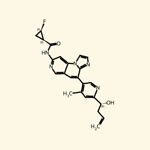 C=CC[C@@H](O)c1cc(C)c(-c2cc3cnc(NC(=O)[C@H]4C[C@H]4F)cc3n3ccnc23)cn1